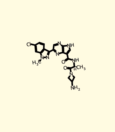 C[C@@H](NC(=O)c1c[nH]c2ncc(-c3nn(C)c4cc(Cl)ccc34)nc12)C(=O)N1CC(N)C1